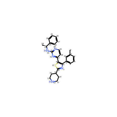 Cc1cccc(-c2nc(C3CCNCC3)sc2-c2ccnc(N[C@@H](C)c3ccccc3)n2)c1